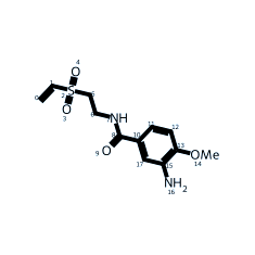 C=CS(=O)(=O)CCNC(=O)c1ccc(OC)c(N)c1